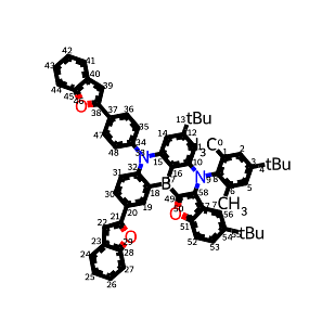 Cc1cc(C(C)(C)C)cc(C)c1N1c2cc(C(C)(C)C)cc3c2B(c2cc(-c4cc5ccccc5o4)ccc2N3c2ccc(-c3cc4ccccc4o3)cc2)c2oc3ccc(C(C)(C)C)cc3c21